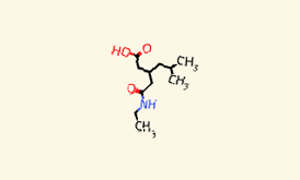 CCNC(=O)CC(CC(=O)O)CC(C)C